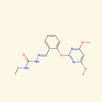 CCNC(=O)NN=Cc1ccccc1Oc1nc(OC)cc(OC)n1